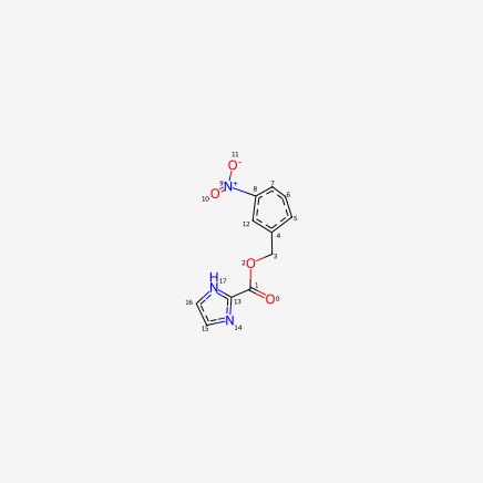 O=C(OCc1cccc([N+](=O)[O-])c1)c1ncc[nH]1